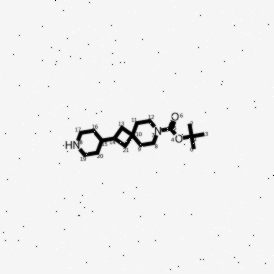 CC(C)(C)OC(=O)N1CCC2(CC1)CC(C1CCNCC1)C2